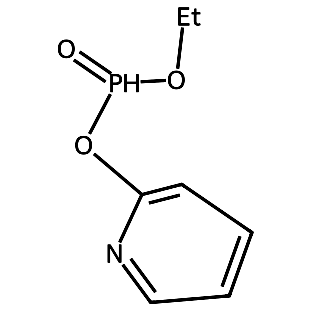 CCO[PH](=O)Oc1ccccn1